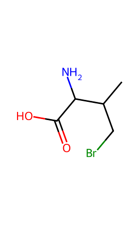 CC(CBr)C(N)C(=O)O